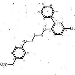 CCOC(=O)Cc1ccc(OCCCOc2ccc(Cl)cc2-c2ccccc2)cc1